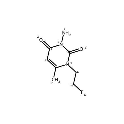 Cc1cc(=O)n(N)c(=O)n1CCF